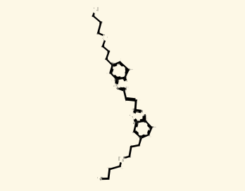 NCCCNCCCc1ccc2oc(/C=C/c3nc4cc(CCCNCCCN)ccc4o3)nc2c1